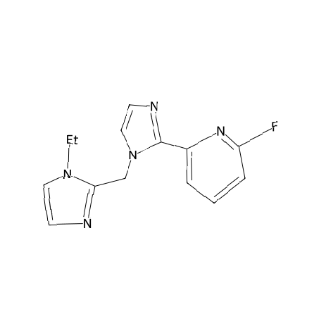 CCn1ccnc1Cn1ccnc1-c1cccc(F)n1